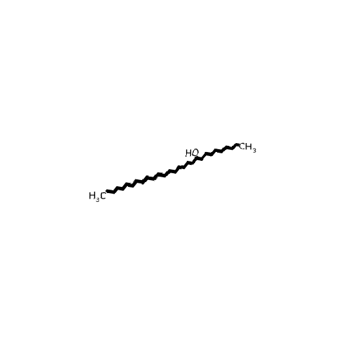 CCCCCCCCCCCCCCCCCCCC(O)CCCCCCCCC